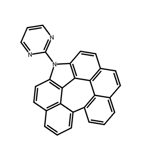 c1cnc(-n2c3ccc4cccc5c4c3c3c4c(ccc6cccc-5c64)ccc32)nc1